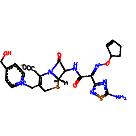 Nc1nc(C(=NOC2C=CCC2)C(=O)NC2C(=O)N3C(C(=O)[O-])=C(C[n+]4ccc(CO)cc4)CS[C@@H]23)ns1